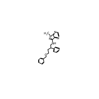 Cn1nc(NCC(CCOCc2ccccc2)c2ccccc2)c2nccnc21